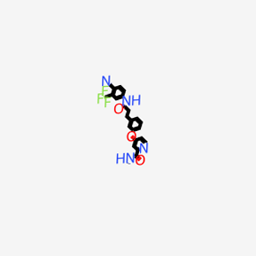 CNC(=O)c1cc(Oc2cccc(CCC(=O)Nc3ccc(C#N)c(C(F)(F)F)c3)c2)ccn1